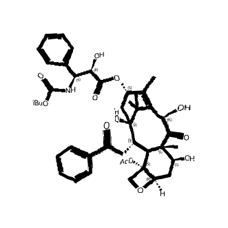 CC(=O)O[C@@]12CO[C@@H]1C[C@H](O)[C@@]1(C)C(=O)[C@H](O)C3=C(C)[C@@H](OC(=O)[C@H](O)[C@@H](NC(=O)OCC(C)C)c4ccccc4)C[C@@](O)([C@@H](CC(=O)c4ccccc4)C12)C3(C)C